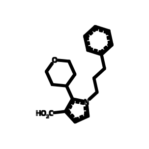 O=C(O)c1ccn(CCCc2ccccc2)c1C1CCOCC1